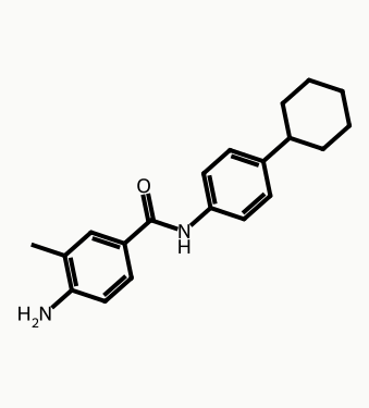 Cc1cc(C(=O)Nc2ccc(C3CCCCC3)cc2)ccc1N